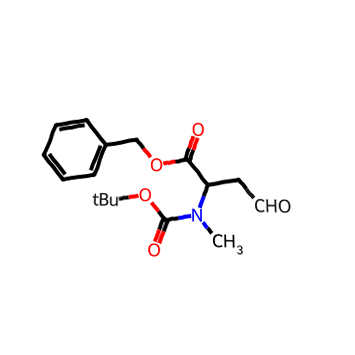 CN(C(=O)OC(C)(C)C)C(CC=O)C(=O)OCc1ccccc1